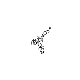 O=C(N[C@H](CN1CCCC1)[C@H](O)c1ccc(OC2CCOCC2)c(Cl)c1)[C@@H]1CCN(c2ccc3cc(F)ccc3c2)C1